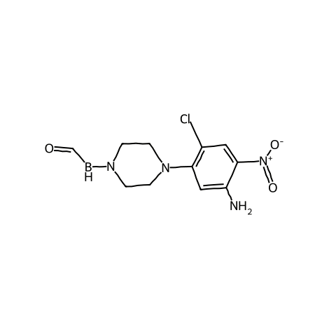 Nc1cc(N2CCN(BC=O)CC2)c(Cl)cc1[N+](=O)[O-]